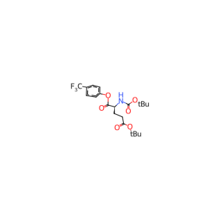 CC(C)(C)OC(=O)CC[C@H](NC(=O)OC(C)(C)C)C(=O)Oc1ccc(C(F)(F)F)cc1